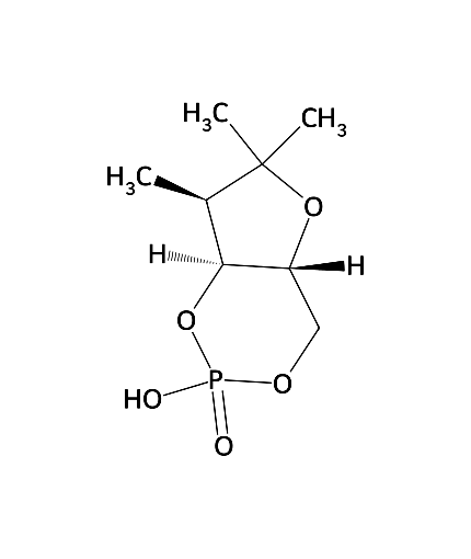 C[C@@H]1[C@@H]2OP(=O)(O)OC[C@H]2OC1(C)C